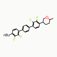 CCCCc1ccc(-c2ccc(-c3ccc(C4CCC(C)OC4)c(F)c3F)cc2)c(F)c1F